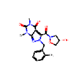 CC(C)n1c(=O)n(C)c(=O)c2c(C(=O)N3C[C@H](O)CO3)n(Cc3ccccc3C(F)(F)F)nc21